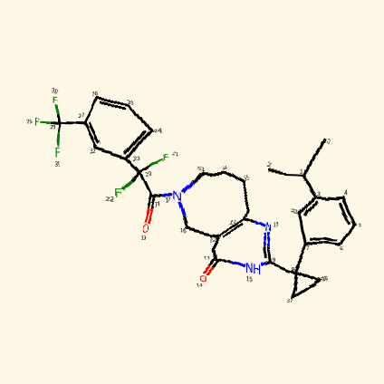 CC(C)c1cccc(C2(c3nc4c(c(=O)[nH]3)CN(C(=O)C(F)(F)c3cccc(C(F)(F)F)c3)CCC4)CC2)c1